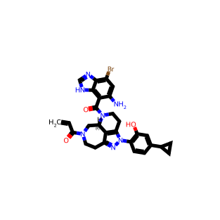 C=CC(=O)N1CCc2nn(-c3ccc(C4CC4)cc3O)c3c2[C@H](C1)N(C(=O)c1c(N)cc(Br)c2nc[nH]c12)CC3